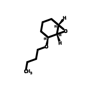 CCCCO[C@H]1CCC[C@@H]2O[C@H]12